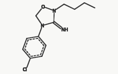 CCCCN1OCN(c2ccc(Cl)cc2)C1=N